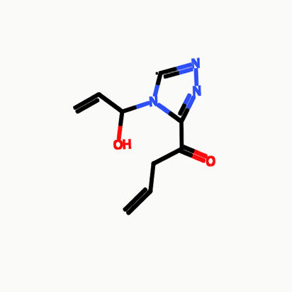 C=CCC(=O)c1nn[c]n1C(O)C=C